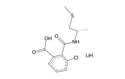 CSC[C@H](C)NC(=O)c1c(Cl)cccc1C(=O)O.[LiH]